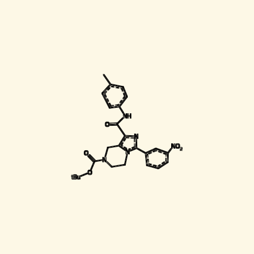 Cc1ccc(NC(=O)c2nc(-c3cccc([N+](=O)[O-])c3)n3c2CN(C(=O)OC(C)(C)C)CC3)cc1